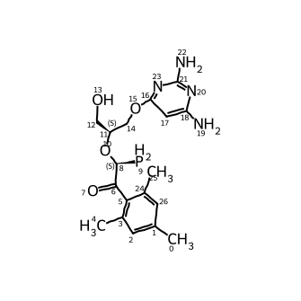 Cc1cc(C)c(C(=O)[C@H](P)O[C@@H](CO)COc2cc(N)nc(N)n2)c(C)c1